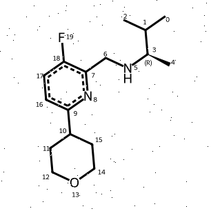 CC(C)[C@@H](C)NCc1nc(C2CCOCC2)ccc1F